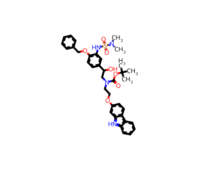 CN(C)S(=O)(=O)Nc1cc(C(O)CN(CCOc2ccc3c(c2)[nH]c2ccccc23)C(=O)OC(C)(C)C)ccc1OCc1ccccc1